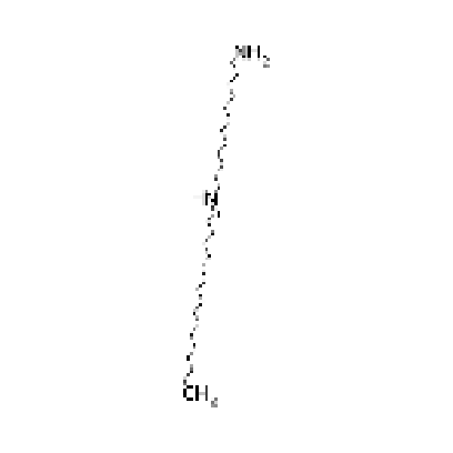 CCCCCCCCCCCCCCCCSNCCCCCCCCCCCCN